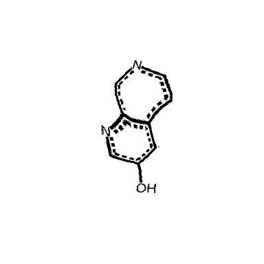 Oc1[c]c2ccncc2nc1